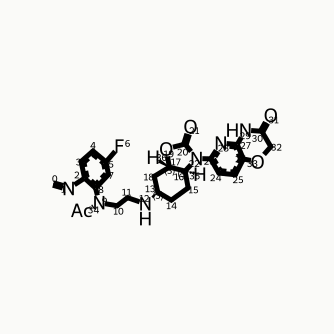 C=Nc1ccc(F)cc1N(CCN[C@H]1CC[C@H]2[C@H](C1)OC(=O)N2c1ccc2c(n1)NC(=O)CO2)C(C)=O